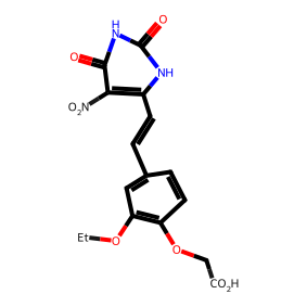 CCOc1cc(C=Cc2[nH]c(=O)[nH]c(=O)c2[N+](=O)[O-])ccc1OCC(=O)O